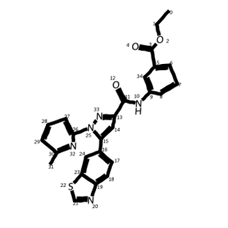 CCOC(=O)c1cccc(NC(=O)c2cc(-c3ccc4ncsc4c3)n(-c3cccc(C)n3)n2)c1